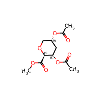 COC(=O)[C@H]1OC[C@H](OC(C)=O)C[C@@H]1OC(C)=O